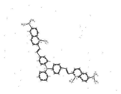 CN(C)c1ccc2c(ccc(/C=C/c3ccc(N(c4ccccc4)c4ccc(/C=C/c5ccc6cc(N(C)C)ccc6[n+]5C)cc4)cc3)[n+]2C)c1